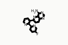 Nc1ncnc2ccc(-c3cccnc3-c3ccc(F)cn3)nc12